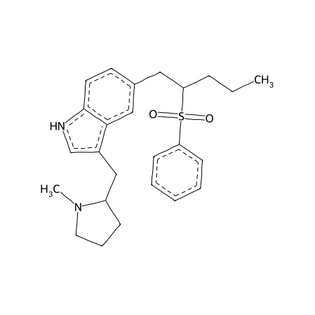 CCCC(Cc1ccc2[nH]cc(CC3CCCN3C)c2c1)S(=O)(=O)c1ccccc1